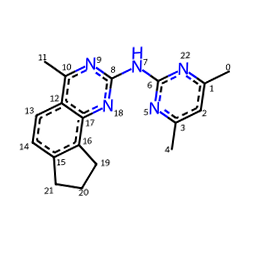 Cc1cc(C)nc(Nc2nc(C)c3ccc4c(c3n2)CCC4)n1